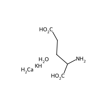 NC(CCC(=O)O)C(=O)O.O.[CaH2].[KH]